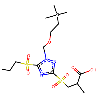 CCCS(=O)(=O)c1nc(S(=O)(=O)CC(C)C(=O)O)nn1COCC[Si](C)(C)C